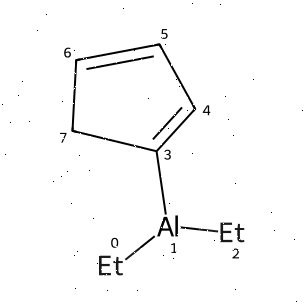 C[CH2][Al]([CH2]C)[C]1=CC=CC1